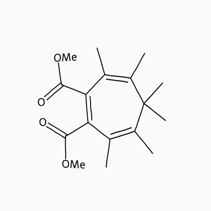 COC(=O)C1=C(C(=O)OC)C(C)=C(C)C(C)(C)C(C)=C1C